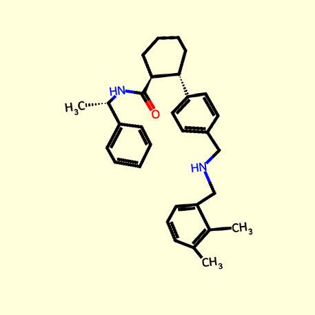 Cc1cccc(CNCc2ccc([C@H]3CCCC[C@@H]3C(=O)N[C@@H](C)c3ccccc3)cc2)c1C